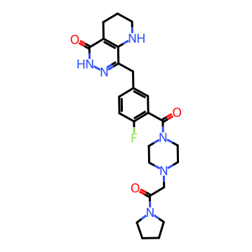 O=C(CN1CCN(C(=O)c2cc(Cc3n[nH]c(=O)c4c3NCCC4)ccc2F)CC1)N1CCCC1